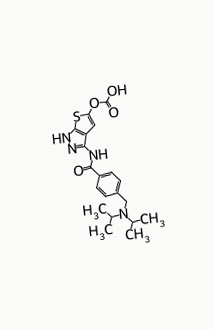 CC(C)N(Cc1ccc(C(=O)Nc2n[nH]c3sc(OC(=O)O)cc23)cc1)C(C)C